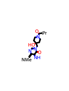 CN/C=C1/N=CN(CC2(O)CCN(C(=O)C(C)C)CC2)C(=O)C1=N